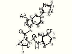 CC(=O)c1nn(CC(=O)N2C3C[C@]3(C)C[C@H]2C(=O)Nc2cccc(C(F)(F)F)c2F)c2cnc(-c3cnc(C)nc3)cc12